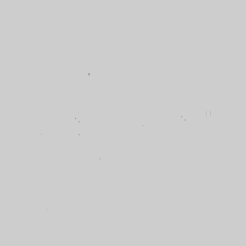 CNCc1ccc(NS(=O)(=O)c2ccccc2)c(-c2ccco2)c1